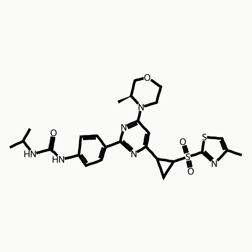 Cc1csc(S(=O)(=O)C2CC2c2cc(N3CCOC[C@@H]3C)nc(-c3ccc(NC(=O)NC(C)C)cc3)n2)n1